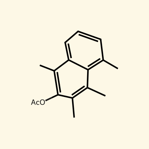 CC(=O)Oc1c(C)c(C)c2c(C)cccc2c1C